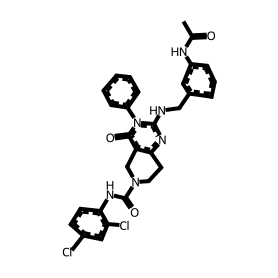 CC(=O)Nc1cccc(CNc2nc3c(c(=O)n2-c2ccccc2)CN(C(=O)Nc2ccc(Cl)cc2Cl)CC3)c1